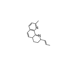 C/C=C/C1CCC2C=Cc3ccc(C)nc3C2=N1